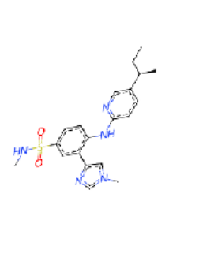 CC[C@@H](C)c1ccc(Nc2ccc(S(=O)(=O)NC)cc2-c2cn(C)cn2)nc1